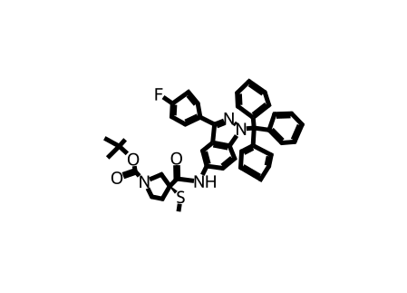 CS[C@@]1(C(=O)Nc2ccc3c(c2)c(-c2ccc(F)cc2)nn3C(c2ccccc2)(c2ccccc2)c2ccccc2)CCN(C(=O)OC(C)(C)C)C1